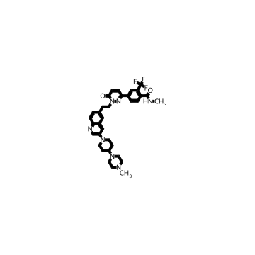 CNC(=O)c1ccc(-c2ccc(=O)n(CCc3ccc4ncc(N5CCC(N6CCN(C)CC6)CC5)cc4c3)n2)cc1C(F)(F)F